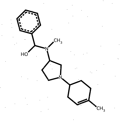 CC1=CCC(N2CCC(N(C)C(O)c3ccccc3)C2)CC1